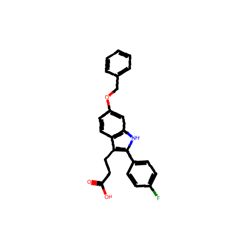 O=C(O)CCc1c(-c2ccc(F)cc2)[nH]c2cc(OCc3ccccc3)ccc12